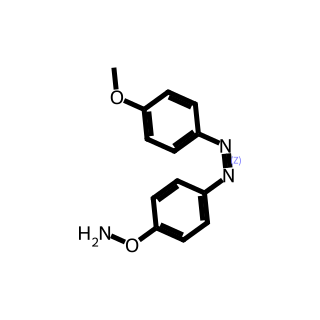 COc1ccc(/N=N\c2ccc(ON)cc2)cc1